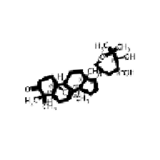 CC1(C)OCC([C@@H]2CC[C@]3(C)C4=CC[C@H]5C(C)(C)C(=O)CC[C@]5(C)[C@H]4CC[C@@]23C)C[C@@H](O)[C@@H]1O